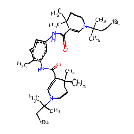 Cc1ccc(NC(=O)C2=CN(C(C)(C)CC(C)(C)C)CCC2(C)C)cc1NC(=O)C1=CN(C(C)(C)CC(C)(C)C)CCC1(C)C